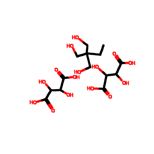 CCC(CO)(CO)CO.O=C(O)C(O)C(O)C(=O)O.O=C(O)C(O)C(O)C(=O)O